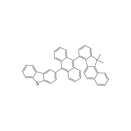 CC1(C)c2cccc(-c3c4ccccc4c(-c4ccc5sc6ccccc6c5c4)c4ccccc34)c2-c2ccc3ccccc3c21